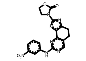 O=C1OCCN1c1nc2c(s1)-c1nc(Nc3cccc([N+](=O)[O-])c3)ncc1CC2